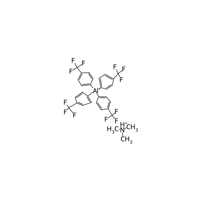 C[NH+](C)C.FC(F)(F)c1cc[c]([Al-]([c]2ccc(C(F)(F)F)cc2)([c]2ccc(C(F)(F)F)cc2)[c]2ccc(C(F)(F)F)cc2)cc1